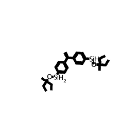 C=C(c1ccc([SiH2]OC(C)(CC)CC)cc1)c1ccc([SiH2]OC(C)(CC)CC)cc1